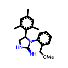 COCc1ccccc1N1C(=N)NCC1c1c(C)cc(C)cc1C